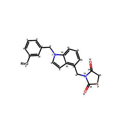 COc1cccc(Cn2ccc3c(CN4C(=O)CSC4=O)cccc32)c1